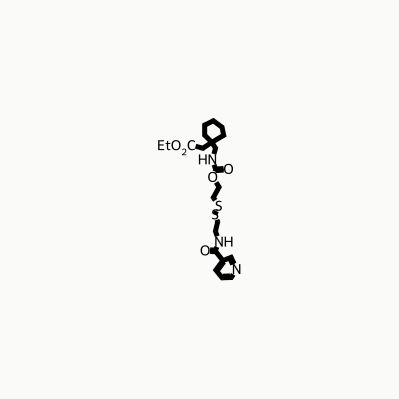 CCOC(=O)CC1(CNC(=O)OCCSSCCNC(=O)c2cccnc2)CCCCC1